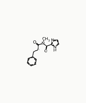 CN(C(=O)[CH]Cc1ccccc1)C(=O)c1ncc[nH]1